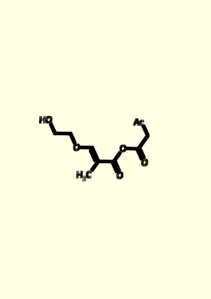 CC(=O)CC(=O)OC(=O)C(C)=COCCO